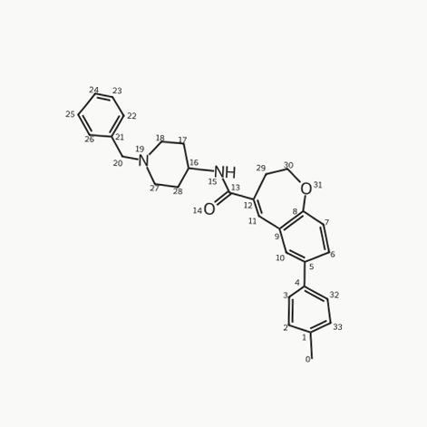 Cc1ccc(-c2ccc3c(c2)C=C(C(=O)NC2CCN(Cc4ccccc4)CC2)CCO3)cc1